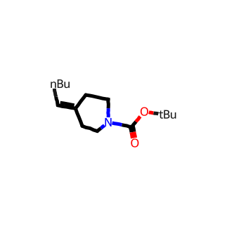 CCCCC=C1CCN(C(=O)OC(C)(C)C)CC1